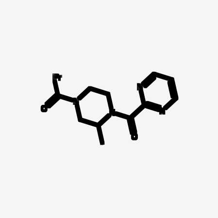 CC(C)C(=O)N1CCN(C(=O)c2ncccn2)C(C)C1